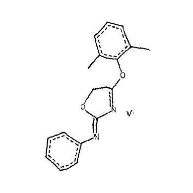 Cc1cccc(C)c1OC1=NC(=Nc2ccccc2)OC1.[V]